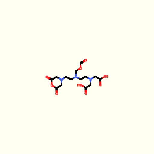 O=COCN(CCN(CC(=O)O)CC(=O)O)CCN1CC(=O)OC(=O)C1